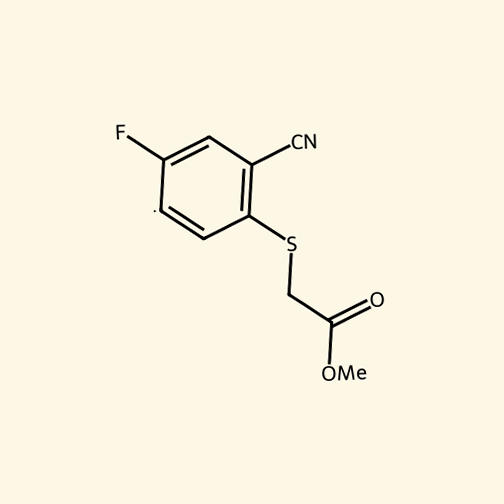 COC(=O)CSc1c[c]c(F)cc1C#N